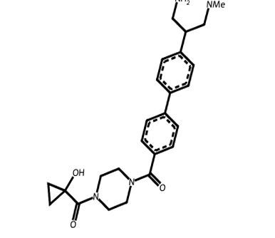 CNCC(CN)c1ccc(-c2ccc(C(=O)N3CCN(C(=O)C4(O)CC4)CC3)cc2)cc1